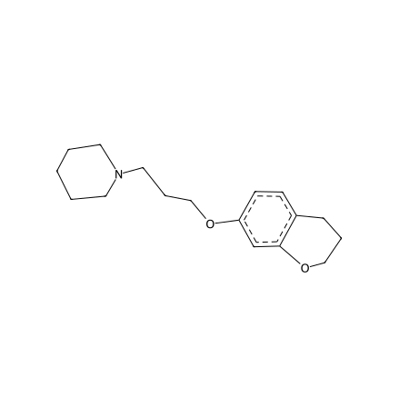 c1cc2c(cc1OCCCN1CCCCC1)OCCC2